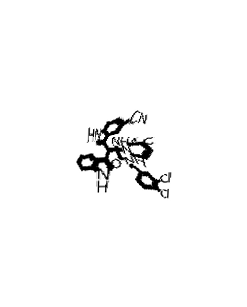 CC(=O)NC(C(=O)NCc1ccc(Cl)c(Cl)c1)(C(c1c[nH]c2ccccc12)c1c[nH]c2ccc(C#N)cc12)N1CC=CCC1